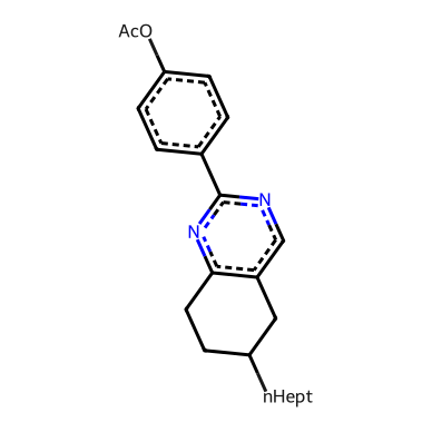 CCCCCCCC1CCc2nc(-c3ccc(OC(C)=O)cc3)ncc2C1